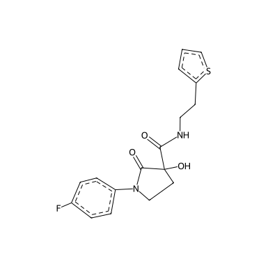 O=C(NCCc1cccs1)C1(O)CCN(c2ccc(F)cc2)C1=O